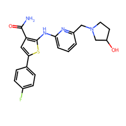 NC(=O)c1cc(-c2ccc(F)cc2)sc1Nc1cccc(CN2CCC(O)C2)n1